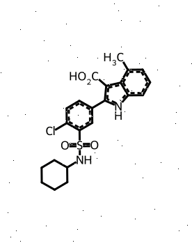 Cc1cccc2[nH]c(-c3ccc(Cl)c(S(=O)(=O)NC4CCCCC4)c3)c(C(=O)O)c12